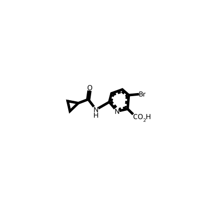 O=C(O)c1nc(NC(=O)C2CC2)ccc1Br